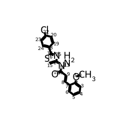 COc1ccccc1C=CC(=O)N(N)c1csc(-c2ccc(Cl)cc2)n1